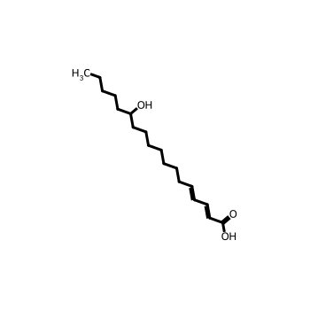 CCCCCC(O)CCCCCCCC=CC=CC(=O)O